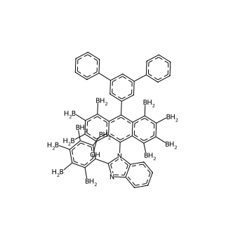 Bc1c(B)c(B)c(-c2nc3ccccc3n2-c2c3c(B)c(B)c(B)c(B)c3c(-c3cc(-c4ccccc4)cc(-c4ccccc4)c3)c3c(B)c(B)c(B)c(O)c23)c(B)c1B